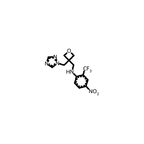 O=[N+]([O-])c1ccc(NCC2(Cn3cncn3)COC2)c(C(F)(F)F)c1